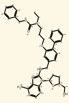 CCN(CCCOc1cc(CNc2nc3c(N)ncnc3n2[C@H]2CC[C@@H](CO)O2)ccc1-c1ccccc1)C(=O)OCc1ccccc1